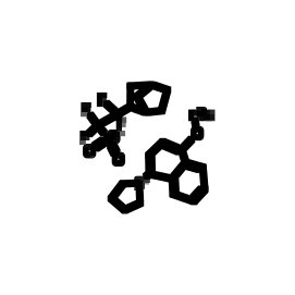 CCCCOc1ccc([S+]2CCCC2)c2ccccc12.O=S(=O)([O-])C(F)(F)C(F)(F)C1CC2CCC1C2